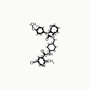 COc1ccc(-n2c(=O)n(CC3CCC(NC(=O)c4cc(Cl)cnc4C)CC3)c3cccnc32)cc1